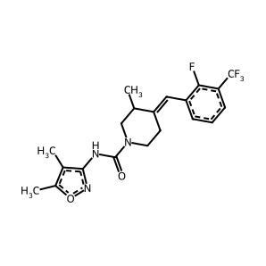 Cc1onc(NC(=O)N2CCC(=Cc3cccc(C(F)(F)F)c3F)C(C)C2)c1C